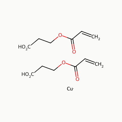 C=CC(=O)OCCC(=O)O.C=CC(=O)OCCC(=O)O.[Cu]